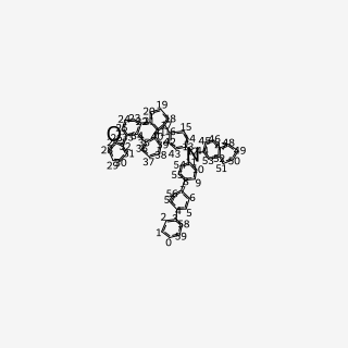 c1ccc(-c2ccc(-c3ccc(N(c4ccc(-c5cccc6c7ccc8oc9ccccc9c8c7c7ccccc7c56)cc4)c4ccc5ccccc5c4)cc3)cc2)cc1